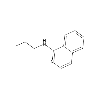 CCCNc1nccc2ccccc12